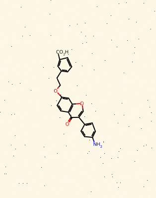 Nc1ccc(-c2coc3cc(OCCc4cccc(C(=O)O)c4)ccc3c2=O)cc1